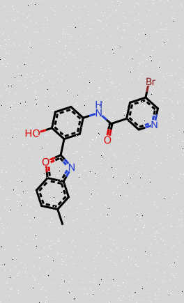 Cc1ccc2oc(-c3cc(NC(=O)c4cncc(Br)c4)ccc3O)nc2c1